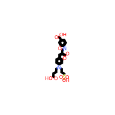 O=C(O)CCCN(CCCS(=O)(=O)O)c1ccc2cc(-c3nc4ccc(C(=O)O)cc4o3)c(=O)oc2c1